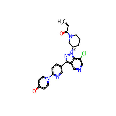 C=CC(=O)N1CCC[C@@H](n2nc(-c3ccc(-n4ccc(=O)cc4)nc3)c3cncc(Cl)c32)C1